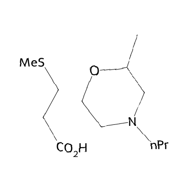 CCCN1CCOC(C)C1.CSCCC(=O)O